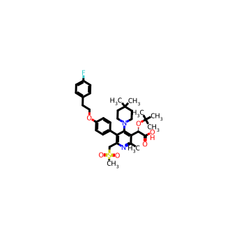 Cc1nc(CS(C)(=O)=O)c(-c2ccc(OCCc3ccc(F)cc3)cc2)c(N2CCC(C)(C)CC2)c1[C@H](OC(C)(C)C)C(=O)O